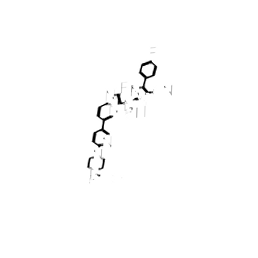 CCc1nc2ccc(-c3ccc(N4CCN(C=O)CC4)nc3)cn2c1N(C)c1nc(-c2ccc(F)cc2)c(C#N)s1